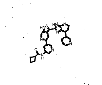 O=C(Nc1cncc(-c2cc3c(-c4nc5c(-c6cccnc6)ccnc5[nH]4)n[nH]c3cn2)c1)C1CCC1